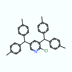 Cc1ccc(C(c2ccc(C)cc2)c2cnc(Cl)c(C(c3ccc(C)cc3)c3ccc(C)cc3)c2)cc1